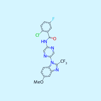 COc1ccc2c(c1)nc(C(F)(F)F)n2-c1cnc(NC(=O)c2cc(F)ccc2Cl)cn1